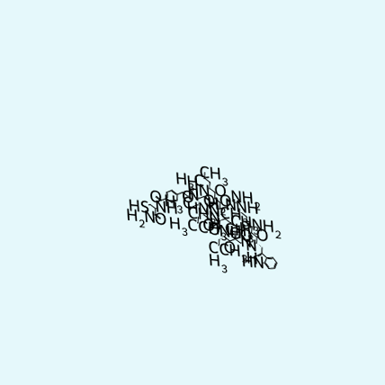 CC(C)C[C@H](NC(=O)[C@H](CC(C)C)NOCc1ccc(C(=O)NC(CS)C(N)=O)cc1)C(=O)CC(=O)[C@H](C)NCN[C@@H](CC(C)C)C(=O)N[C@@H](CC(C)C)C(=O)N[C@@H](CC(C)C)C(=O)C(=O)CNN[C@@H](Cc1c[nH]c2ccccc12)C(=O)C(=O)[C@@H](N)CCCNC(N)N